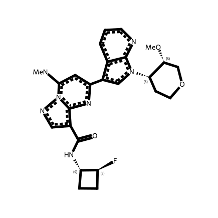 CNc1cc(-c2cn([C@H]3CCOC[C@H]3OC)c3ncccc23)nc2c(C(=O)N[C@H]3CC[C@@H]3F)cnn12